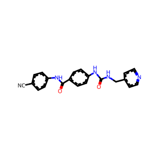 N#Cc1ccc(NC(=O)c2ccc(NC(=O)NCc3ccncc3)cc2)cc1